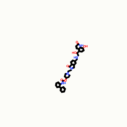 O=C(Nc1ccccc1-c1ccccc1)OC1CCN(CCN2Cc3cc(CNCC(O)c4ccc(O)c5[nH]c(=O)ccc45)ccc3C2=O)CC1